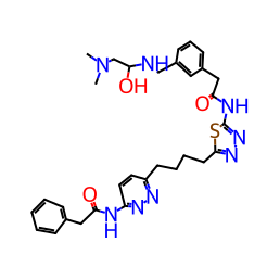 CN(C)CC(O)NCc1cccc(CC(=O)Nc2nnc(CCCCc3ccc(NC(=O)Cc4ccccc4)nn3)s2)c1